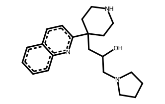 OC(CN1CCCC1)CC1(c2c[c]c3ccccc3n2)CCNCC1